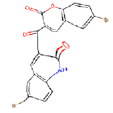 O=C(c1cc2cc(Br)ccc2[nH]c1=O)c1cc2cc(Br)ccc2oc1=O